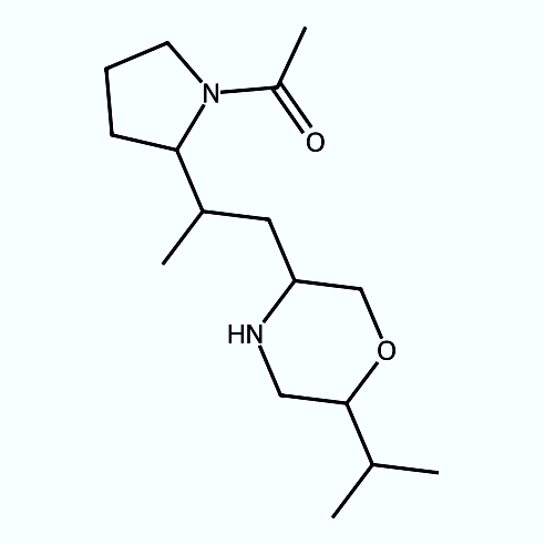 CC(=O)N1CCCC1C(C)CC1COC(C(C)C)CN1